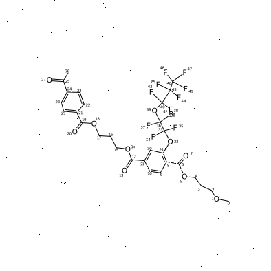 COCCCOC(=O)c1ccc(C(=O)OCCCOC(=O)c2ccc(C(C)=O)cc2)cc1OC(F)(F)C(F)(Br)OC(F)(F)C(F)(F)C(F)(F)F